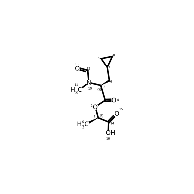 C[C@@H](OC(=O)[C@H](CC1CC1)N(C)C=O)C(=O)O